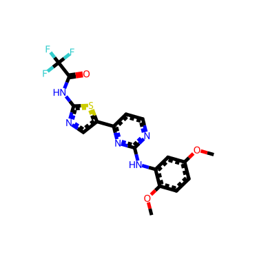 COc1ccc(OC)c(Nc2nccc(-c3cnc(NC(=O)C(F)(F)F)s3)n2)c1